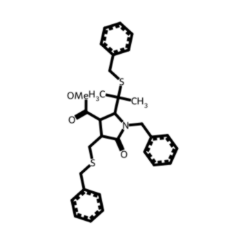 COC(=O)C1C(CSCc2ccccc2)C(=O)N(Cc2ccccc2)C1C(C)(C)SCc1ccccc1